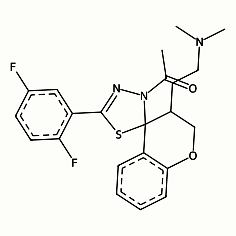 CC(=O)N1N=C(c2cc(F)ccc2F)SC12c1ccccc1OCC2CCN(C)C